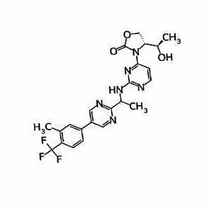 Cc1cc(-c2cnc(C(C)Nc3nccc(N4C(=O)OC[C@@H]4[C@@H](C)O)n3)nc2)ccc1C(F)(F)F